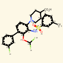 O=C(O)C1CCN(c2ccc(-c3cccc(F)c3)c(OC(F)F)c2NS(=O)(=O)c2cccc(C(F)(F)F)c2)CC1